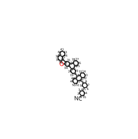 N#Cc1ccc(-c2cccc(-c3c4ccccc4c(-c4ccc5c(c4)c4ccccc4c4cc6c(cc54)oc4ccc5ccccc5c46)c4ccccc34)c2)cc1